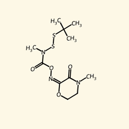 CN1CCOC(=NOC(=O)N(C)SSC(C)(C)C)C1=O